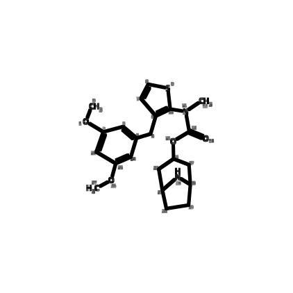 COc1cc(Cc2ccsc2N(C)C(=O)OC2CC3CCC(C2)N3)cc(OC)c1